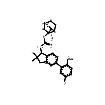 COc1ccc(Cl)cc1-c1ccc2c(c1)CC(C)(C)C2NC(=O)O[C@H]1CN2CCC1CC2